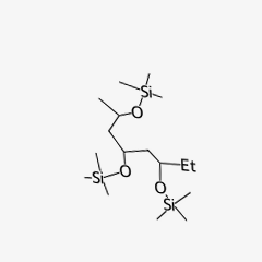 CCC(CC(CC(C)O[Si](C)(C)C)O[Si](C)(C)C)O[Si](C)(C)C